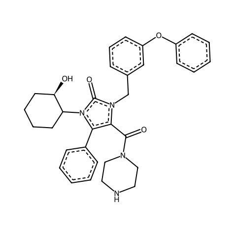 O=C(c1c(-c2ccccc2)n(C2CCCC[C@H]2O)c(=O)n1Cc1cccc(Oc2ccccc2)c1)N1CCNCC1